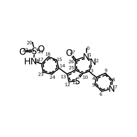 Cn1nc(-c2ccncc2)c2scc(-c3ccc(NS(C)(=O)=O)cc3)c2c1=O